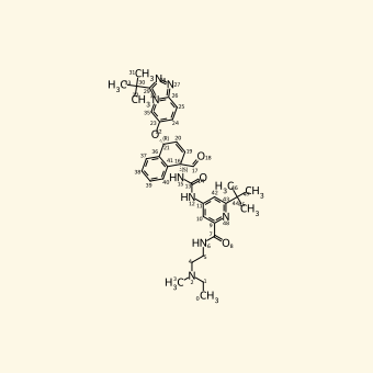 CCN(C)CCNC(=O)c1cc(NC(=O)N[C@@]2(C=O)C=C[C@@H](Oc3ccc4nnc(C(C)(C)C)n4c3)c3ccccc32)cc(C(C)(C)C)n1